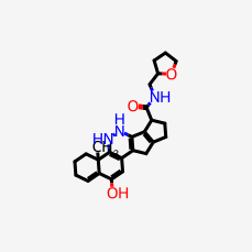 CC12CCCC=C1C(O)=CC1=C2NNC2=C1CC1=C2C(C(=O)NCC2CCCO2)CC1